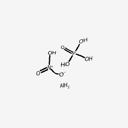 O=P(O)(O)O.O=[N+]([O-])O.[AlH3]